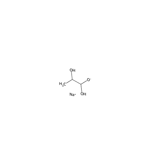 CC(O)C([O-])O.[Na+]